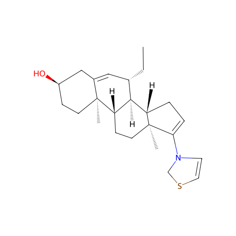 CC[C@H]1C=C2C[C@H](O)CC[C@]2(C)[C@H]2CC[C@]3(C)C(N4C=CSC4)=CC[C@H]3[C@H]12